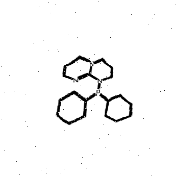 C1CCC(P(C2CCCCC2)N2CCCN3CCCN=C32)CC1